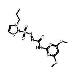 CCCN1C=CSN1S(=O)(=O)N=NC(=O)Nc1nc(OC)cc(OC)n1